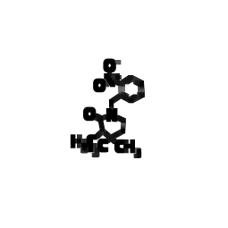 CC1C(=O)N(Cc2ccccc2[N+](=O)[O-])CCC1(C)C